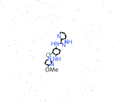 COc1ccnc(Nc2ccc(Nc3n[nH]c4cccnc34)cc2Cl)n1